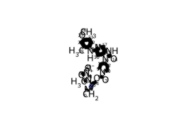 C=N/C=C(/COC(=O)N1CCC(n2c(=O)[nH]c3cnc(Nc4ccc(OC)cc4C)cc32)CC1)N(C)C[N+](=O)[O-]